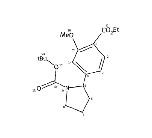 CCOC(=O)c1ccc(C2CCCN2C(=O)OC(C)(C)C)cc1OC